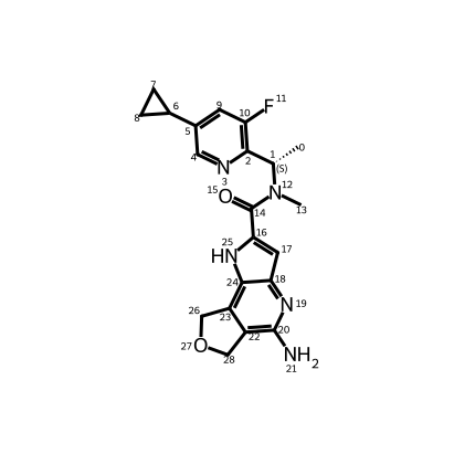 C[C@@H](c1ncc(C2CC2)cc1F)N(C)C(=O)c1cc2nc(N)c3c(c2[nH]1)COC3